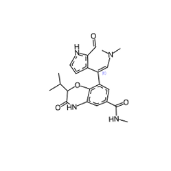 CNC(=O)c1cc2c(c(/C(=C/N(C)C)c3cc[nH]c3C=O)c1)OC(C(C)C)C(=O)N2